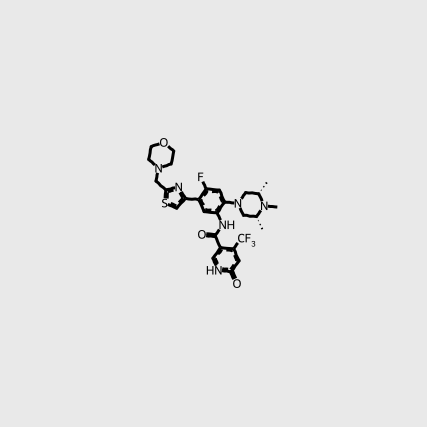 C[C@@H]1CN(c2cc(F)c(-c3csc(CN4CCOCC4)n3)cc2NC(=O)c2c[nH]c(=O)cc2C(F)(F)F)C[C@H](C)N1C